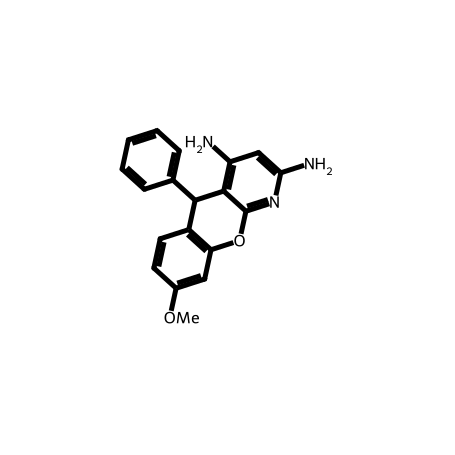 COc1ccc2c(c1)Oc1nc(N)cc(N)c1C2c1ccccc1